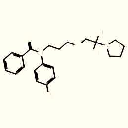 CC(C)(COCCCN(C(=O)c1ccccc1)c1ccc(O)cc1)N1CCCC1